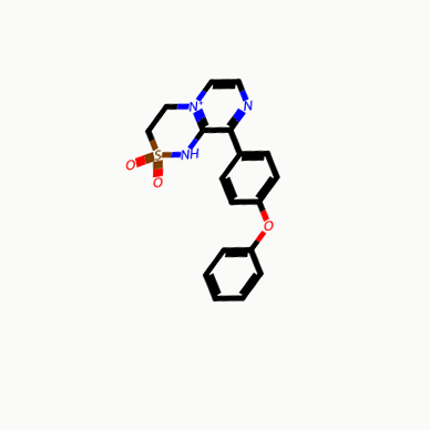 O=S1(=O)CC[n+]2ccnc(-c3ccc(Oc4ccccc4)cc3)c2N1